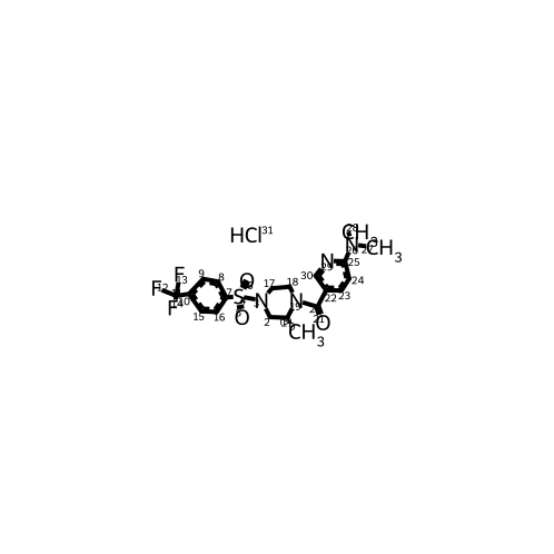 C[C@H]1CN(S(=O)(=O)c2ccc(C(F)(F)F)cc2)CCN1C(=O)c1ccc(N(C)C)nc1.Cl